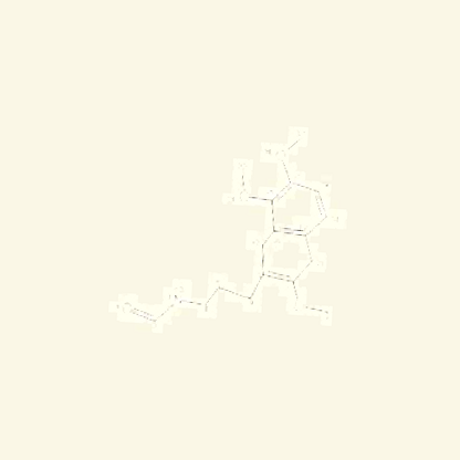 COC1=C(CCCNC=O)Cc2c(ccc(OC)c2OC)C1